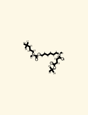 CN(CCCCCCOC(=O)N(C)CCCC(C)(C)C)C(=O)CCC(=O)OC(C)(C)C